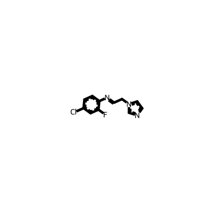 Fc1cc(Cl)ccc1N=CCn1ccnc1